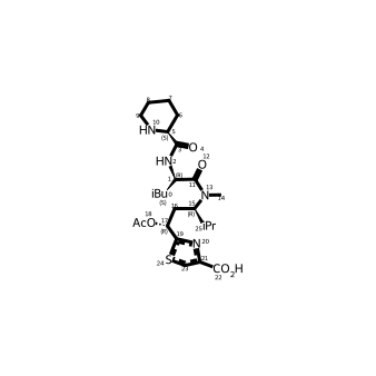 CC[C@H](C)[C@@H](NC(=O)[C@@H]1CCCCN1)C(=O)N(C)[C@H](C[C@@H](OC(C)=O)c1nc(C(=O)O)cs1)C(C)C